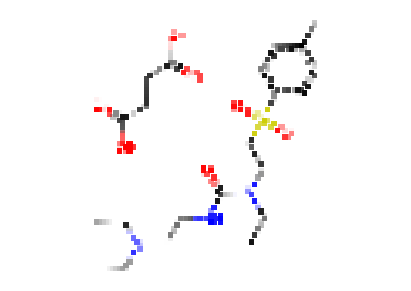 CCN(CC)CCNC(=O)N(CCS(=O)(=O)c1ccc(C)cc1)C(C)C.O=C(O)C=CC(=O)O